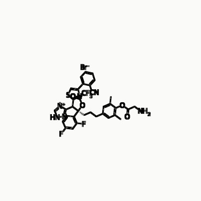 Cc1cc(CCC[C@](OC(=O)C(F)(F)F)(c2ccc(F)cc2F)C(C2=NNC=[N+]2)c2nc(-c3ccccc3C#N)cs2)cc(C)c1OC(=O)CN.[Br-]